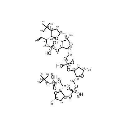 C=CC(OP(=O)(O)OC1C[C@H](C)O[C@@H]1COP(=O)(O)OC1C[C@H](C)O[C@@H]1COP(=O)(O)OC1C[C@H](C)O[C@@H]1COP(=O)(O)OC(C)(C)C)[C@H]1O[C@@H](C)CC1C(C)(C)C